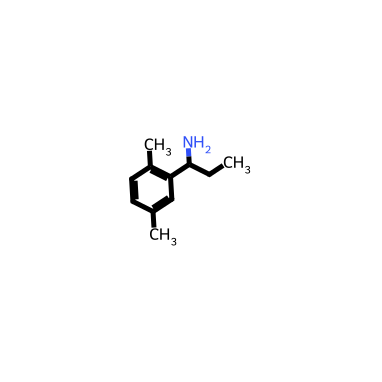 CCC(N)c1cc(C)ccc1C